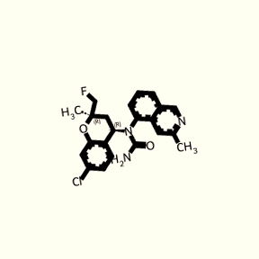 Cc1cc2c(N(C(N)=O)[C@@H]3C[C@](C)(CF)Oc4cc(Cl)ccc43)cccc2cn1